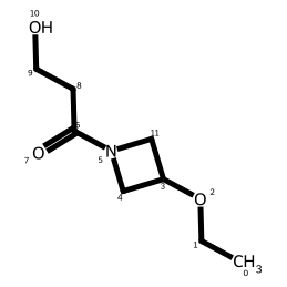 CCOC1CN(C(=O)CCO)C1